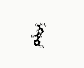 N#Cc1cccc(-c2nn3ccc(C(N)=O)nc3c2Br)c1